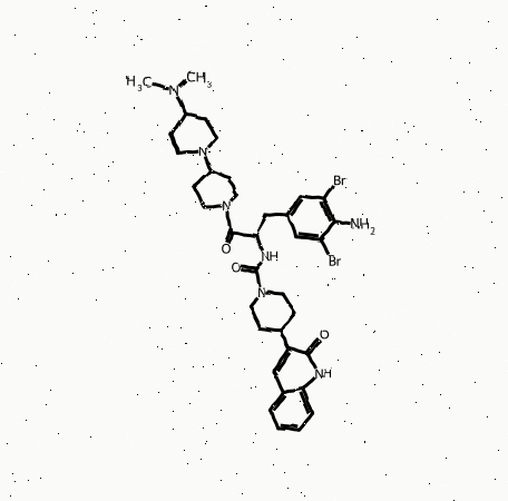 CN(C)C1CCN(C2CCN(C(=O)[C@@H](Cc3cc(Br)c(N)c(Br)c3)NC(=O)N3CCC(c4cc5ccccc5[nH]c4=O)CC3)CC2)CC1